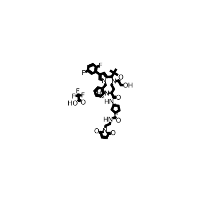 CC(C)(C)[C@H](c1cc(-c2cc(F)ccc2F)cn1Cc1ccccc1)N(CC[C@H](N)C(=O)N[C@H]1CC[C@@H](C(=O)NCCN2C(=O)C=CC2=O)C1)C(=O)CO.O=C(O)C(F)(F)F